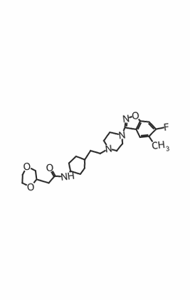 Cc1cc2c(N3CCN(CCC4CCC(NC(=O)CC5COCCO5)CC4)CC3)noc2cc1F